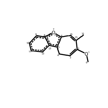 COC1=CCc2c(oc3ccccc23)C=C1C